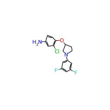 Nc1ccc(OC2CCN(c3cc(F)cc(F)c3)C2)c(Cl)c1